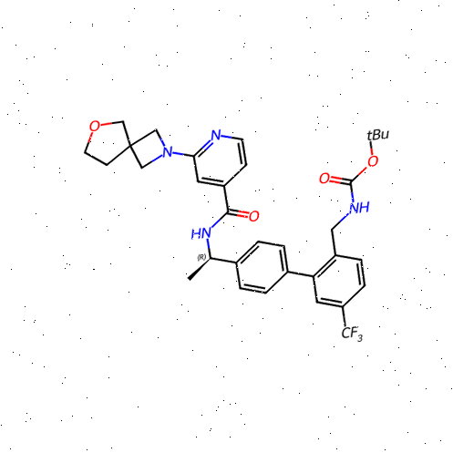 C[C@@H](NC(=O)c1ccnc(N2CC3(CCOC3)C2)c1)c1ccc(-c2cc(C(F)(F)F)ccc2CNC(=O)OC(C)(C)C)cc1